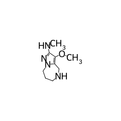 CNc1nn2c(c1OC)CNCCC2